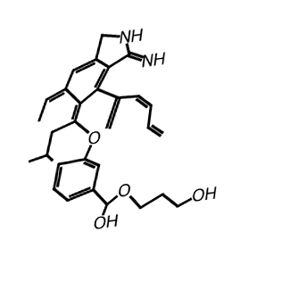 C=C/C=C\C(=C)c1c2c(cc(=C/C)/c1=C(\CC(C)C)Oc1cccc(C(O)OCCCO)c1)CNC2=N